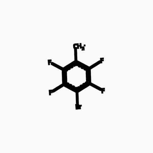 [CH2]c1c(F)c(F)c(Br)c(F)c1F